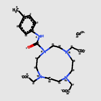 Cc1ccc(NC(=O)N2CCN(CC(=O)[O-])CCN(CC(=O)[O-])CCN(CC(=O)[O-])CC2)cc1.[Gd+3]